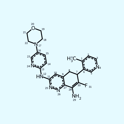 Cc1ccncc1C1Cc2cc(Nc3ccc(N4CCOCC4)cn3)nnc2C(N)=C1F